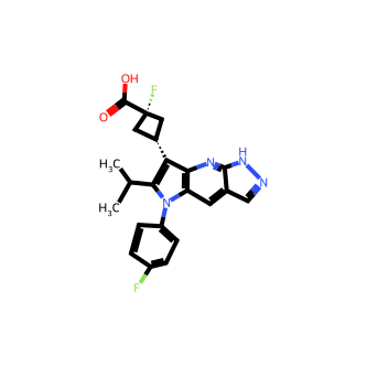 CC(C)c1c([C@H]2C[C@](F)(C(=O)O)C2)c2nc3[nH]ncc3cc2n1-c1ccc(F)cc1